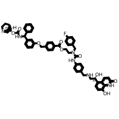 O=C(NC(c1ccccc1)c1cccc(OCc2ccc(C(=O)OCCN(Cc3ccc(F)cc3)C(=O)Nc3ccc(CNC[C@H](O)c4ccc(O)c5[nH]c(=O)ccc45)cc3)cc2)c1)O[C@H]1CN2CCC1CC2